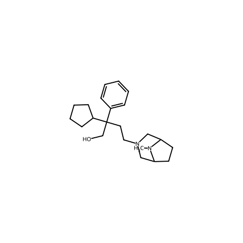 CN1C2CCC1CN(CCC(CO)(c1ccccc1)C1CCCC1)C2